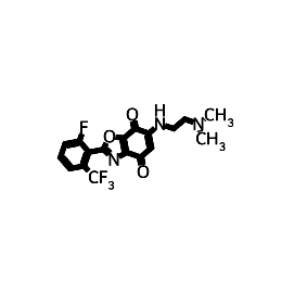 CN(C)CCNC1=CC(=O)c2nc(-c3c(F)cccc3C(F)(F)F)oc2C1=O